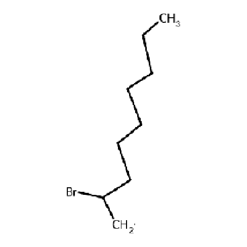 [CH2]C(Br)CCCCCCC